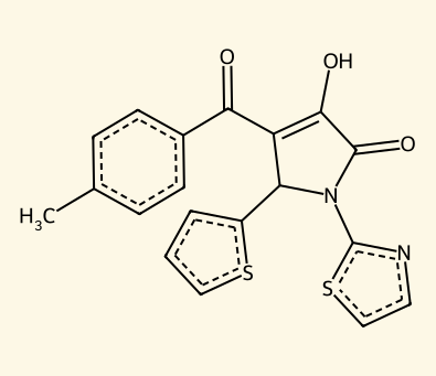 Cc1ccc(C(=O)C2=C(O)C(=O)N(c3nccs3)C2c2cccs2)cc1